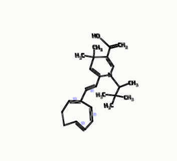 C=C(O)C1=CN(C(C)C(C)(C)C)C(/C=C/C2=C/CC/C=C/C=C\2)=CC1(C)C